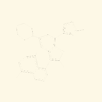 Cc1nc2c(-c3cnc(Cl)[nH]3)cc(N3CCOCC3)cc2n1-c1ccnc2c(Cl)ccc(F)c12